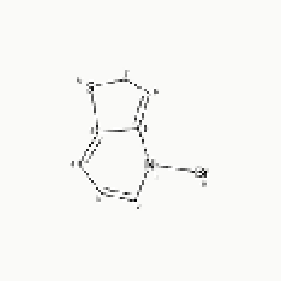 BrN1C=CC=C2SCC=C21